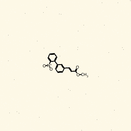 COC(=O)/C=C/c1cccc(-c2ccccc2[N+](=O)[O-])c1